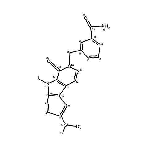 Cn1c2ccc([S+](C)[O-])cc2c2cnn(Cc3cccc(C(N)=O)c3)c(=O)c21